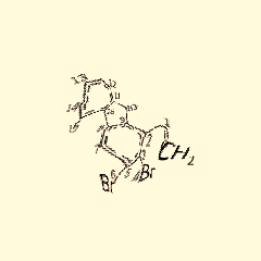 C=Cc1c(Br)c(Br)cc2c1Cc1ccccc1-2